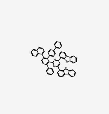 c1ccc(-c2ccc(-c3c(-c4cccc5ccccc45)ccc(-c4ccccc4)c3-c3nc(-c4cccc5c4sc4ccccc45)cc(-c4cccc5c4sc4ccccc45)n3)cc2)cc1